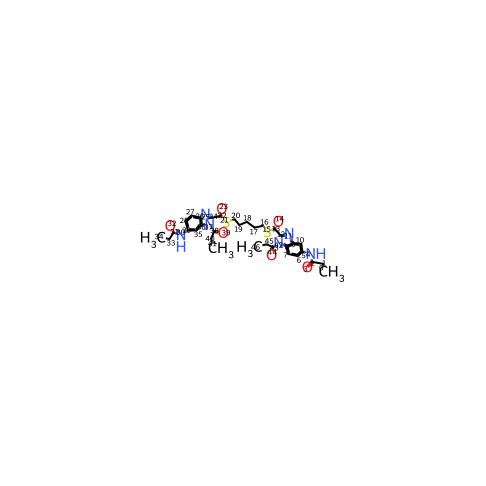 CCC(=O)Nc1ccc2c(c1)nc(C(=O)SCCCCCSC(=O)c1nc3ccc(NC(=O)CC)cc3n1C(=O)CC)n2C(=O)CC